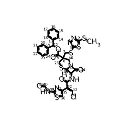 CSc1nnc(SCC2(C(=O)OC(c3ccccc3)c3ccccc3)CS[C@@H]3C(NC(=O)C(=CCl)c4csc(NC=O)n4)C(=O)N3C2)s1